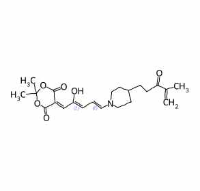 C=C(C)C(=O)CCC1CCN(/C=C/C=C(\O)C=C2C(=O)OC(C)(C)OC2=O)CC1